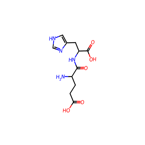 NC(CCC(=O)O)C(=O)NC(Cc1c[nH]cn1)C(=O)O